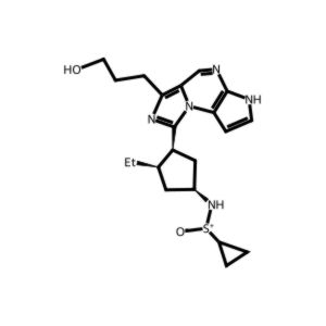 CC[C@@H]1C[C@H](N[S+]([O-])C2CC2)C[C@@H]1c1nc(CCCO)c2cnc3[nH]ccc3n12